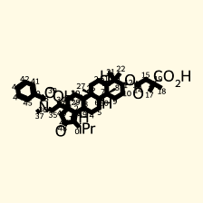 CC(C)C1=C2[C@H]3CC[C@@H]4[C@@]5(C)CC[C@H](OC(=O)CC(C)(C)C(=O)O)C(C)(C)[C@@H]5CC[C@@]4(C)[C@]3(C)CCC2(C(O)CN(C)C(=O)c2ccccc2)CC1=O